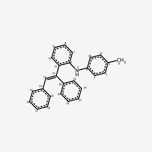 Cc1ccc(Nc2ccccc2C(=Cc2ccccc2)c2ccccc2)cc1